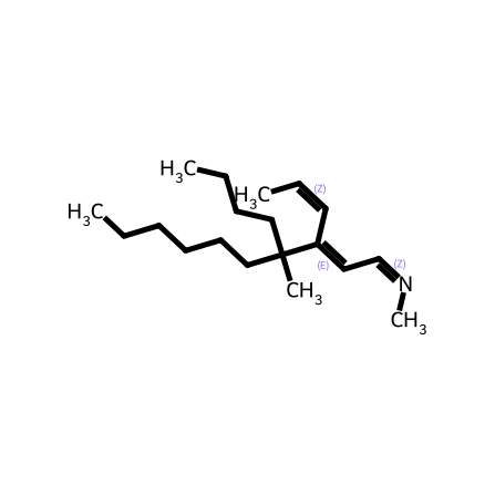 C\C=C/C(=C\C=N/C)C(C)(CCCC)CCCCCC